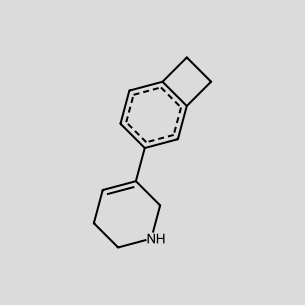 C1=C(c2ccc3c(c2)CC3)CNCC1